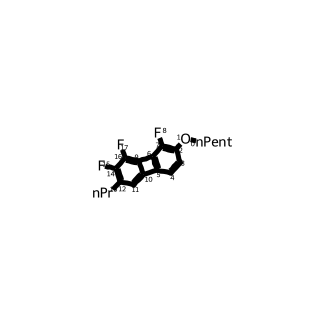 CCCCCOc1ccc2c(c1F)-c1c-2cc(CCC)c(F)c1F